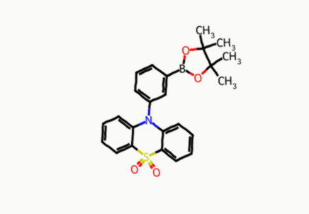 CC1(C)OB(c2cccc(N3c4ccccc4S(=O)(=O)c4ccccc43)c2)OC1(C)C